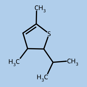 CC1=CC(C)C(C(C)C)S1